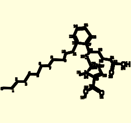 CCCCCCCCCCCCc1ccccc1C(CCCC(=O)O)Sc1ncc(C(=O)OC)n1C